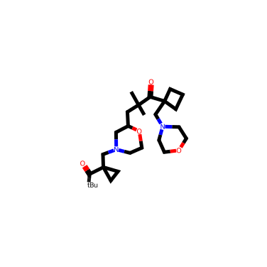 CC(C)(C)C(=O)C1(CN2CCOC(CC(C)(C)C(=O)C3(CN4CCOCC4)CCC3)C2)CC1